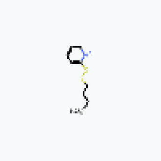 O=C(O)CCCSSC1=CC=CCN1